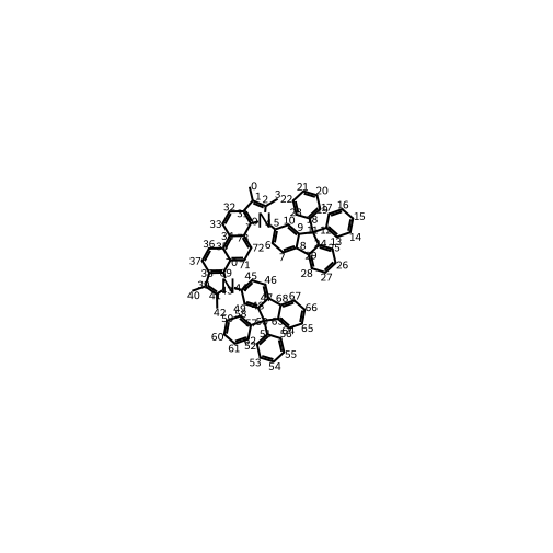 Cc1c(C)n(-c2ccc3c(c2)C(c2ccccc2)(c2ccccc2)c2ccccc2-3)c2c1ccc1c3ccc4c(C)c(C)n(-c5ccc6c(c5)C(c5ccccc5)(c5ccccc5)c5ccccc5-6)c4c3ccc12